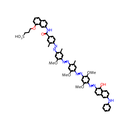 COc1cc(N=Nc2ccc(C(=O)Nc3ccc4cccc(OCCCS(=O)(=O)O)c4c3)cc2C)c(C)cc1N=Nc1cc(OC)c(N=Nc2cc(OC)c(N=Nc3ccc4cc(Nc5ccccc5)ccc4c3O)cc2OC)cc1C